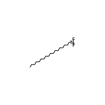 CCCCCCCCCCCCCCCCCCN(F)F